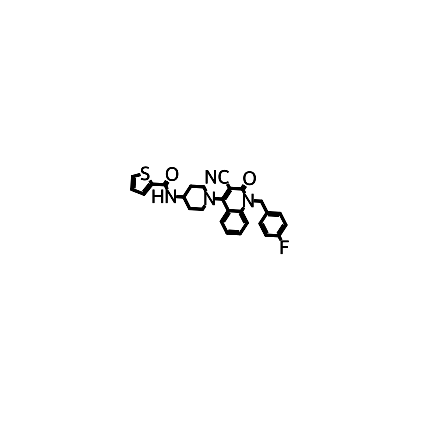 N#Cc1c(N2CCC(NC(=O)c3cccs3)CC2)c2ccccc2n(Cc2ccc(F)cc2)c1=O